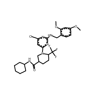 COc1ccc(CNc2nc(Cl)cc(N3CC(C(=O)NC4CCCCC4)CCC3C(F)(F)F)n2)c(OC)c1